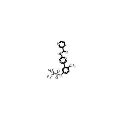 Cc1ccc(OS(=O)(=O)N(C)C)cc1-c1cnc(NC(=O)c2cccnc2)cn1